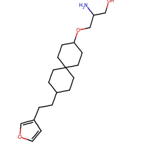 NC(CO)COC1CCC2(CCC(CCc3ccoc3)CC2)CC1